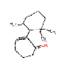 CC1CCCC(C)(C)C1C1=CCCCC1=O